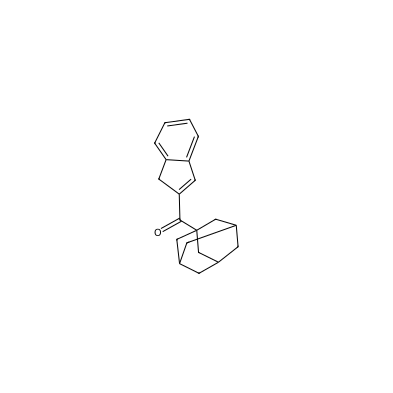 O=C(C1=Cc2ccccc2C1)C12CC3CC(CC(C3)C1)C2